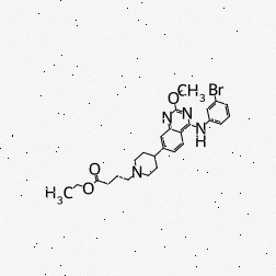 CCOC(=O)CCCN1CCC(c2ccc3c(Nc4cccc(Br)c4)nc(OC)nc3c2)CC1